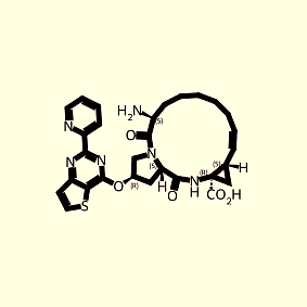 N[C@H]1CCCCCC=C[C@@H]2C[C@@]2(C(=O)O)NC(=O)[C@@H]2C[C@@H](Oc3nc(-c4ccccn4)nc4ccsc34)CN2C1=O